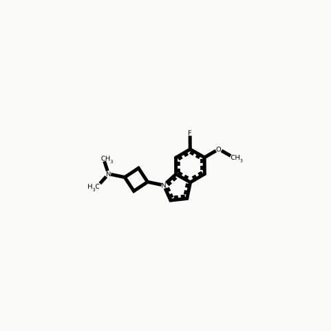 COc1cc2ccn(C3CC(N(C)C)C3)c2cc1F